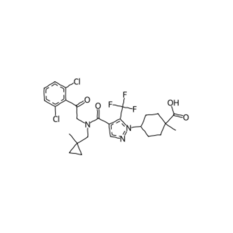 CC1(CN(CC(=O)c2c(Cl)cccc2Cl)C(=O)c2cnn(C3CCC(C)(C(=O)O)CC3)c2C(F)(F)F)CC1